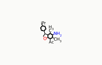 CC(=O)c1c(C)c(N)c(C)c2c1OCC2c1ccc(C(C)C)cc1